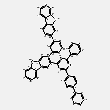 c1ccc(-c2ccc(-c3nc(-c4ccccc4)nc(-c4cc5c(cc4-c4cccc(-c6ccc7c(c6)sc6ccccc67)c4)oc4ccccc45)n3)cc2)cc1